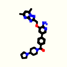 Cc1cc(C)n2nc(COc3cc(-c4ccc(C(=O)N5CCC(N6CCCC6)CC5)cc4)cnc3N)nc2n1